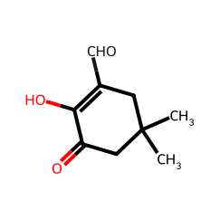 CC1(C)CC(=O)C(O)=C(C=O)C1